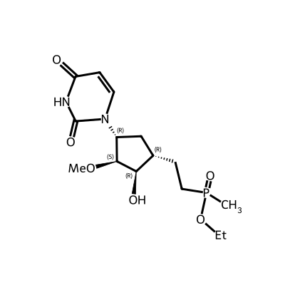 CCOP(C)(=O)CC[C@H]1C[C@@H](n2ccc(=O)[nH]c2=O)[C@H](OC)[C@@H]1O